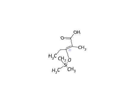 CC/C(O[Si](C)(C)C)=C(/C)C(=O)O